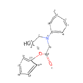 Cc1cccc(N(CC(=O)O)CC(=O)Oc2ccccc2)c1